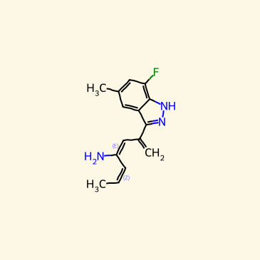 C=C(/C=C(N)\C=C/C)c1n[nH]c2c(F)cc(C)cc12